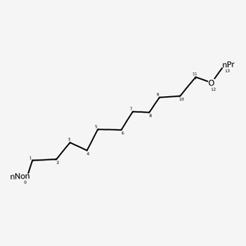 CCCCCCCCCCCCCCCCCCC[CH]OCCC